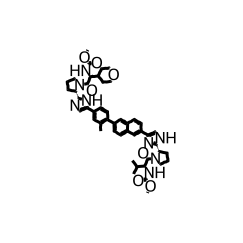 COC(=O)N[C@H](C(=O)N1CCC[C@H]1c1nc(-c2ccc3cc(-c4ccc(-c5cnc([C@@H]6CCCN6C(=O)[C@@H](NC(=O)OC)C6CCOCC6)[nH]5)cc4C)ccc3c2)c[nH]1)C(C)C